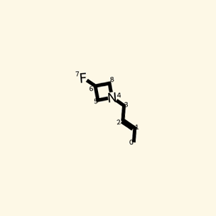 CC=CCN1CC(F)C1